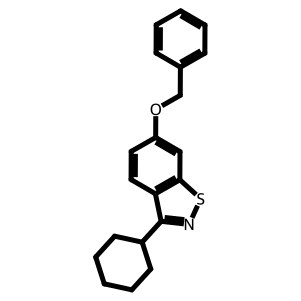 c1ccc(COc2ccc3c(C4CCCCC4)nsc3c2)cc1